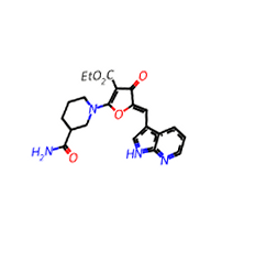 CCOC(=O)C1=C(N2CCCC(C(N)=O)C2)O/C(=C\c2c[nH]c3ncccc23)C1=O